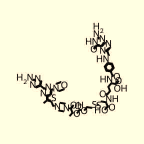 Cc1c(CN2CCN(C(O)C(C)OC(=O)OCCSSCC(NC(=O)CCC(NC(=O)c3ccc(NCc4cnc5nc(N)[nH]c(=O)c5n4)cc3)C(=O)O)C(=O)O)CC2)sc2c(N3CCOCC3)nc(-c3cnc(N)nc3)nc12